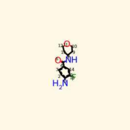 Nc1ccc(C(=O)NC2CCOCC2)cc1F